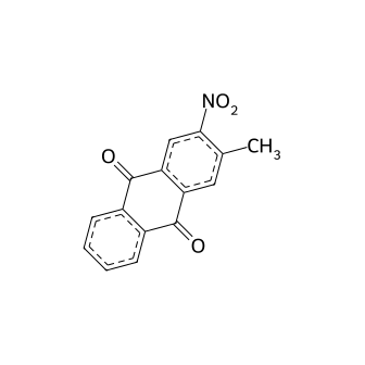 Cc1cc2c(cc1[N+](=O)[O-])C(=O)c1ccccc1C2=O